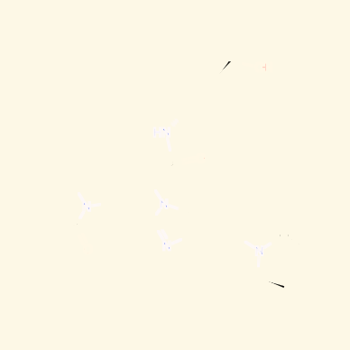 C[C@H]1CCc2c(ccc3c2nc(CCn2ccccc2=O)n3CC(=O)N[C@H]2CC[C@H](CO)CC2)N1C(=O)O